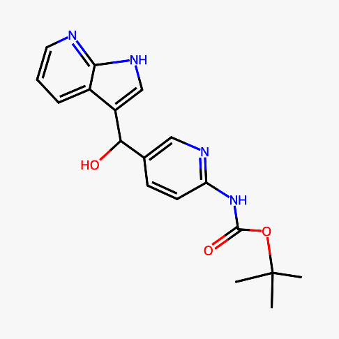 CC(C)(C)OC(=O)Nc1ccc(C(O)c2c[nH]c3ncccc23)cn1